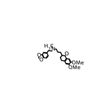 COc1cc2c(cc1OC)C(=O)C(CCCN(C)CCc1ccc3c(c1)OCO3)CC2